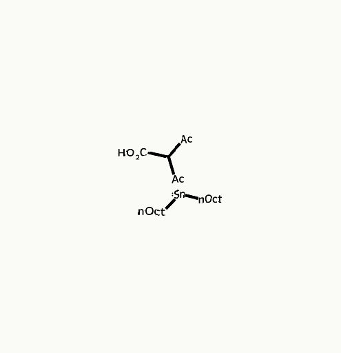 CC(=O)C(C(C)=O)C(=O)O.CCCCCCC[CH2][Sn][CH2]CCCCCCC